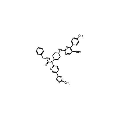 Cn1cc(-c2ccc(N(C(=O)NCc3ccccc3)C3CCC(Nc4ncc(C#N)c(-c5ccc(O)nc5)n4)CC3)nc2)cn1